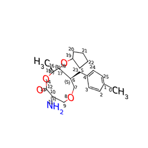 Cc1ccc(C[C@H]2COC[C@H](N)C(=O)O[C@@H](C)[C@@H]2OC2CCCC2)cc1